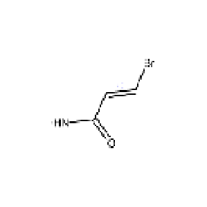 [NH]C(=O)/C=C/Br